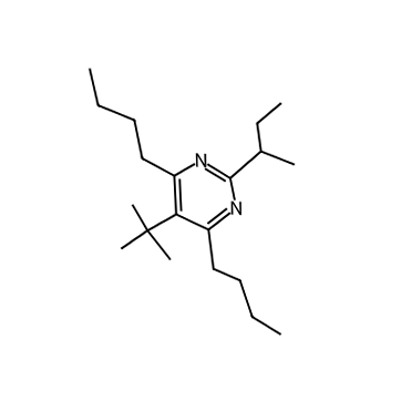 CCCCc1nc(C(C)CC)nc(CCCC)c1C(C)(C)C